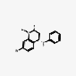 CC(=O)N1c2cc(Br)ccc2[C@@H](Nc2ccccc2)C[C@H]1C